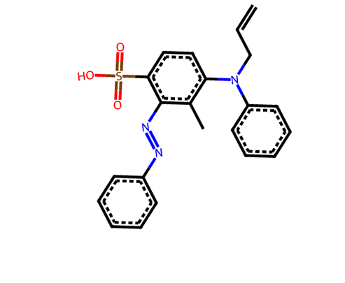 C=CCN(c1ccccc1)c1ccc(S(=O)(=O)O)c(N=Nc2ccccc2)c1C